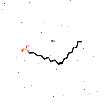 CCCCCCCC/C=C\CCCCCCCC[PH](=O)O.[Nd]